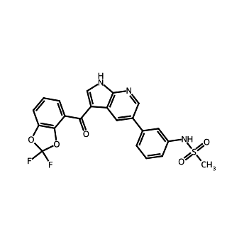 CS(=O)(=O)Nc1cccc(-c2cnc3[nH]cc(C(=O)c4cccc5c4OC(F)(F)O5)c3c2)c1